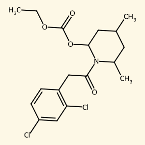 CCOC(=O)OC1CC(C)CC(C)N1C(=O)Cc1ccc(Cl)cc1Cl